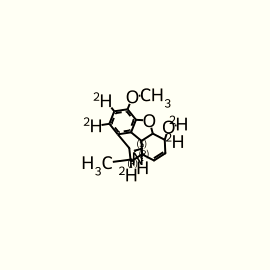 [2H]OC1([2H])C=C[C@@H]2[C@@]34CCN(C)[C@]2([2H])Cc2c([2H])c([2H])c(OC)c(c23)OC14